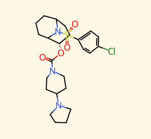 O=C(O[C@H]1CCC2CCCC1N2S(=O)(=O)c1ccc(Cl)cc1)N1CCC(N2CCCC2)CC1